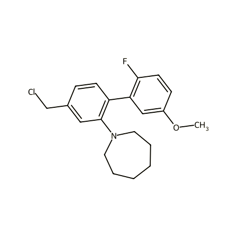 COc1ccc(F)c(-c2ccc(CCl)cc2N2CCCCCC2)c1